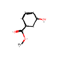 CC(C)OC(=O)C1CC=CC(O)C1